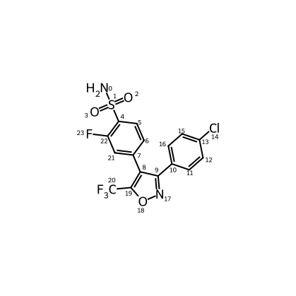 NS(=O)(=O)c1ccc(-c2c(-c3ccc(Cl)cc3)noc2C(F)(F)F)cc1F